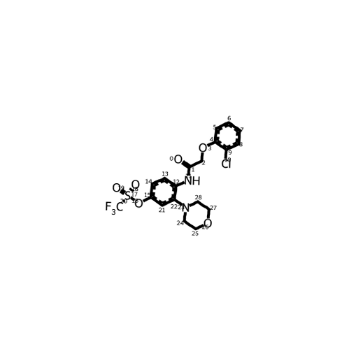 O=C(COc1ccccc1Cl)Nc1ccc(OS(=O)(=O)C(F)(F)F)cc1N1CCOCC1